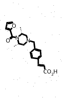 C[C@@H]1CN(Cc2ccc(/C=C/C(=O)O)cc2)C[C@H](C)N1C(=O)c1ccco1